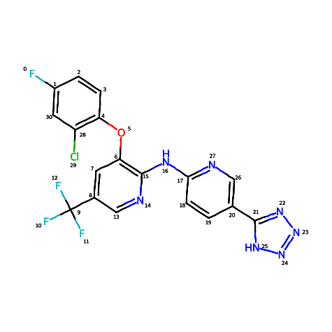 Fc1ccc(Oc2cc(C(F)(F)F)cnc2Nc2ccc(-c3nnn[nH]3)cn2)c(Cl)c1